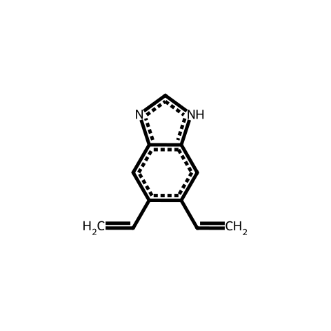 C=Cc1cc2nc[nH]c2cc1C=C